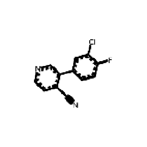 N#Cc1ccncc1-c1ccc(F)c(Cl)c1